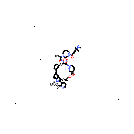 CCn1c(-c2cccnc2[C@H](C)OC)c2c3cc(ccc31)-c1cccc(c1)C[C@H](NC(=O)C(C(C)C)N1CCCCN(C(=O)C#CC(C)(C)N(C)C)CC1=O)C(=O)N1CCC[C@H](CN1)C(=O)OCC(C)(C)C2